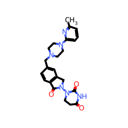 Cc1cccc(N2CCN(Cc3ccc4c(c3)CN(N3CCC(=O)NC3=O)C4=O)CC2)n1